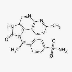 Cc1ccc2c(ncc3[nH]c(=O)n([C@H](C)c4ccc(S(N)(=O)=O)cc4)c32)n1